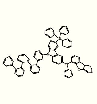 C1=CCC([Si](c2ccccc2)(c2ccccc2)c2ccc3c(c2)c2cc(N(c4ccccc4)c4cccc5c4oc4ccccc45)ccc2n3-c2cccc(-c3ccccc3-c3ccccc3-c3ccccc3-c3ccccc3)c2)C=C1